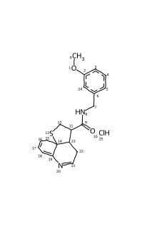 COc1cccc(CNC(=O)C2CSC34CC=CC=C3N=CCC24)c1.Cl